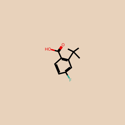 CC(C)(C)c1cc(F)ccc1C(=O)O